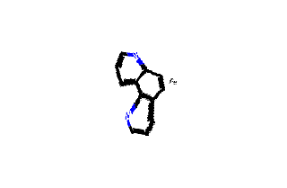 [Fe].c1cnc2c(c1)ccc1ncccc12